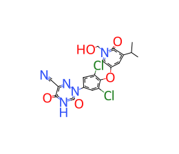 CC(C)c1cc(Oc2c(Cl)cc(-n3nc(C#N)c(=O)[nH]c3=O)cc2Cl)cn(CO)c1=O